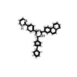 C1=CC2C=Cc3cc(C4=NC(C5=CC=C(C6=NC=CCN6)CC5)=NC(c5ccc(-c6ccccc6)cc5)N4)ccc3C2C=C1